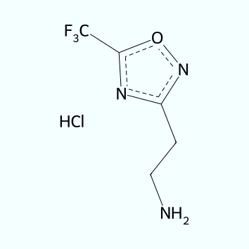 Cl.NCCc1noc(C(F)(F)F)n1